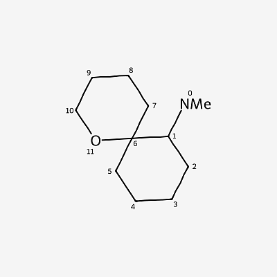 CNC1CCCCC12CCCCO2